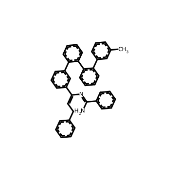 Cc1cccc(-c2ccccc2-c2ccccc2-c2cccc(C(=C/Cc3ccccc3)/N=C(\N)c3ccccc3)c2)c1